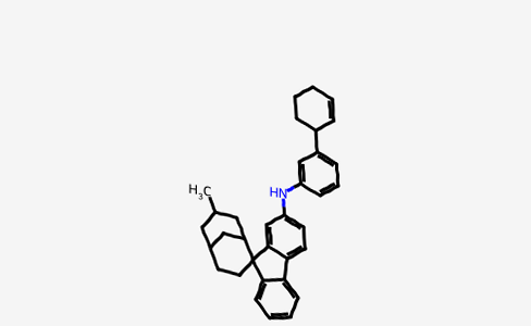 CC1CC2CCC3(c4ccccc4-c4ccc(Nc5cccc(C6C=CCCC6)c5)cc43)C(C1)C2